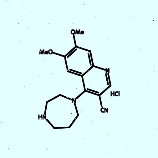 COc1cc2ncc(C#N)c(N3CCCNCC3)c2cc1OC.Cl